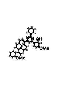 COC1=CC=CCC1C1=CCC2=CC=C3C(c4cc(-c5ccc(OC)cc5O)nc(C5C=CC=CC5)n4)=CC=C4C=CC1C2C43